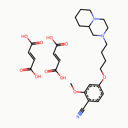 COc1cc(OCCCCN2CCN3CCCCC3C2)ccc1C#N.O=C(O)C=CC(=O)O.O=C(O)C=CC(=O)O